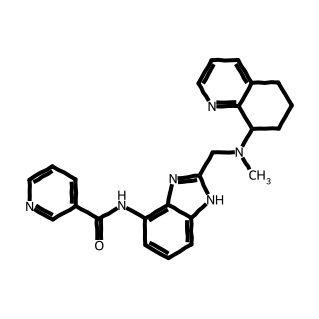 CN(Cc1nc2c(NC(=O)c3cccnc3)cccc2[nH]1)C1CCCc2cccnc21